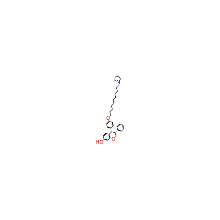 Oc1ccc2c(c1)OC[C@@H](c1ccccc1)[C@H]2c1ccc(OCCCCCCCCCCCN2CCCC2)cc1